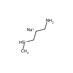 C[SiH-]CCCN.[Na+]